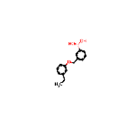 CCc1cccc(OCc2cccc(B(O)O)c2)c1